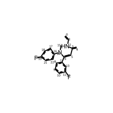 C=CNC(=C)/C=C(/c1cccc(F)c1)N(C)c1ccc(F)cc1